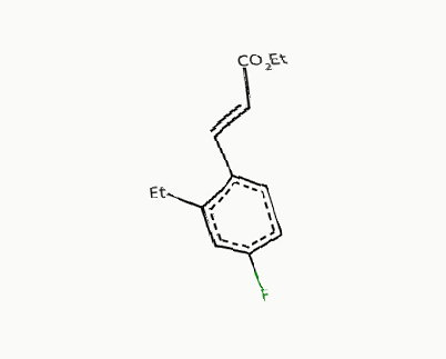 CCOC(=O)/C=C/c1ccc(F)cc1CC